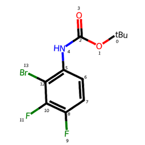 CC(C)(C)OC(=O)Nc1ccc(F)c(F)c1Br